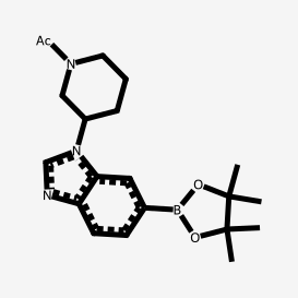 CC(=O)N1CCCC(n2cnc3ccc(B4OC(C)(C)C(C)(C)O4)cc32)C1